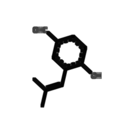 CC(C)=Cc1cc(C=O)ccc1O